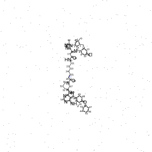 Cc1sc2c(c1C)C(c1ccc(Cl)cc1)=N[C@@H](CC(=O)NCCCC/C=C/C(=O)N1CCC[C@@H](n3nc(-c4ccc(Oc5ccccc5)cc4)c4c(N)ncnc43)C1)c1nnc(C)n1-2